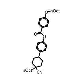 CCCCCCCCOc1ccc(C(=O)Oc2ccc(C3CCC(C#N)(CCCCCCCC)CC3)cc2)cc1